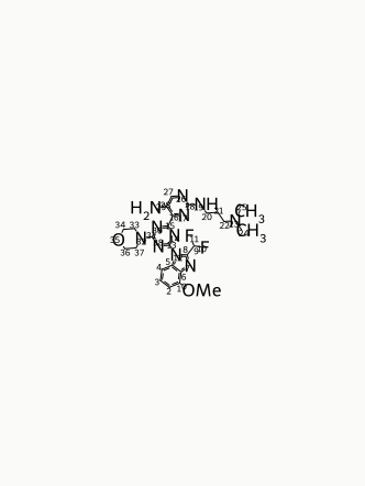 COc1cccc2c1nc(C(F)F)n2-c1nc(-c2nc(NCCCN(C)C)ncc2N)nc(N2CCOCC2)n1